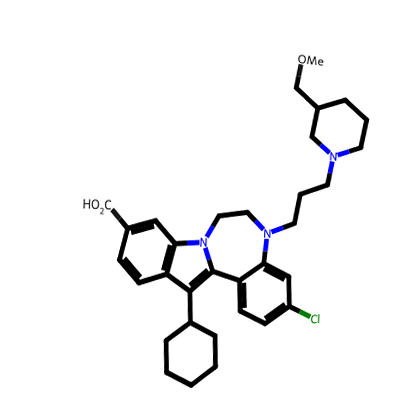 COCC1CCCN(CCCN2CCn3c(c(C4CCCCC4)c4ccc(C(=O)O)cc43)-c3ccc(Cl)cc32)C1